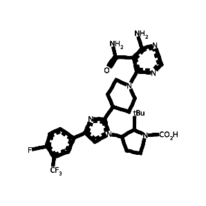 CC(C)(C)C1C(n2cc(-c3ccc(F)c(C(F)(F)F)c3)nc2C2CCN(c3ncnc(N)c3C(N)=O)CC2)CCN1C(=O)O